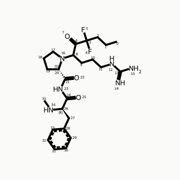 CCCC(F)(F)C(=O)C(CCCNC(=N)N)N1CCC[C@H]1C(=O)NC(=O)[C@@H](Cc1ccccc1)NC